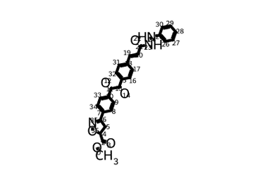 COC(=O)C1CC(c2ccc(C(=O)C(=O)c3ccc(C=CC(=O)NNc4ccccc4)cc3)cc2)=NO1